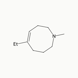 CC/C1=C/CCN(C)CCC1